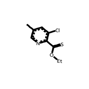 CCOC(=S)c1ncc(C)cc1Cl